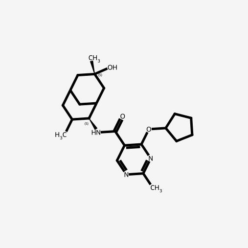 Cc1ncc(C(=O)N[C@H]2C(C)CC3CC2C[C@@](C)(O)C3)c(OC2CCCC2)n1